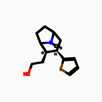 CN1C2CCC1[C@H](CCO)[C@@H](c1cccs1)C2